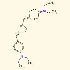 CCN(CC)c1ccc(/C=C2C=C(/C=C3\C=CC(=[N+](CC)CC)CC3)CC/2)cc1